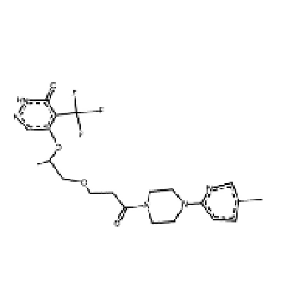 Cc1ccc(N2CCN(C(=O)CCOCC(C)Oc3cn[nH]c(=O)c3C(F)(F)F)CC2)nc1